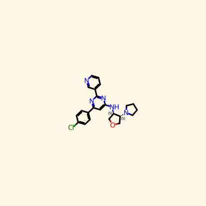 Clc1ccc(-c2cc(N[C@@H]3COC[C@H]3N3CCCC3)nc(-c3cccnc3)n2)cc1